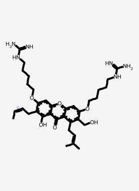 C/C=C\Cc1c(OCCCCCNC(=N)N)cc2oc3cc(OCCCCCNC(=N)N)c(CO)c(CC=C(C)C)c3c(=O)c2c1O